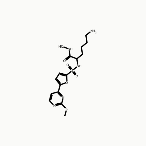 CSc1nccc(-c2ccc(S(=O)(=O)NC(CCCCN)C(=O)NO)s2)n1